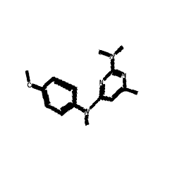 COc1ccc(N(C)c2cc(C)nc(N(C)C)n2)cc1